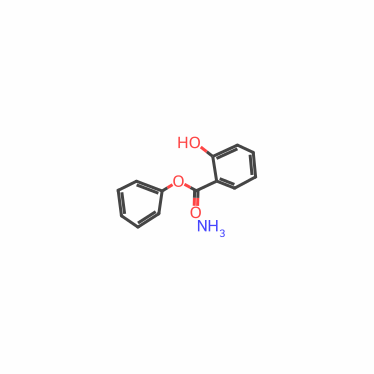 N.O=C(Oc1ccccc1)c1ccccc1O